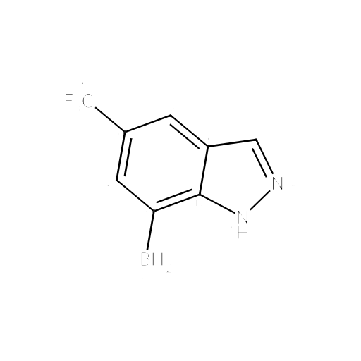 Bc1cc(C(F)(F)F)cc2cn[nH]c12